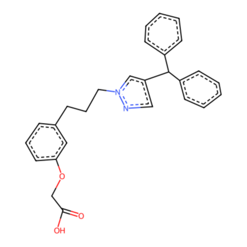 O=C(O)COc1cccc(CCCn2cc(C(c3ccccc3)c3ccccc3)cn2)c1